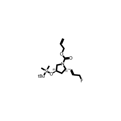 C=CCOC(=O)N1C[C@H](O[Si](C)(C)C(C)(C)C)C[C@H]1C=CCF